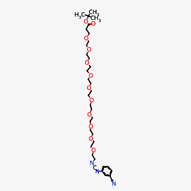 CC(C)(C)OC(=O)CCOCCOCCOCCOCCOCCOCCOCCOCCOCCOCCN=C=Nc1cccc(C#N)c1